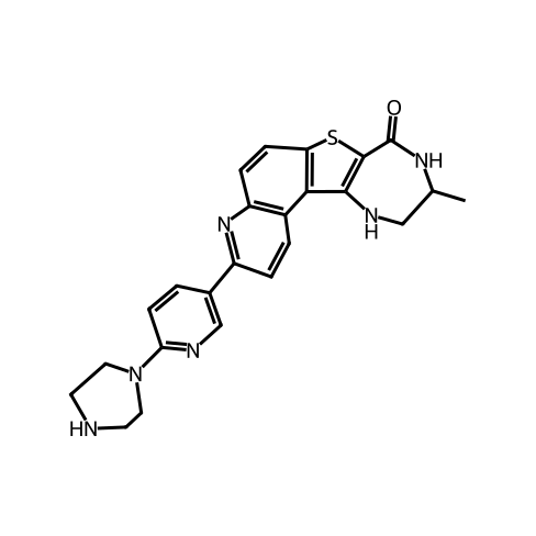 CC1CNc2c(sc3ccc4nc(-c5ccc(N6CCNCC6)nc5)ccc4c23)C(=O)N1